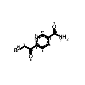 NC(=O)c1ccc(C(=O)CBr)nc1